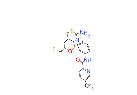 NC1=N[C@@]2(c3cc(NC(=O)c4ccc(C(F)(F)F)cn4)ccc3F)CO[C@@H](CF)CC2CS1